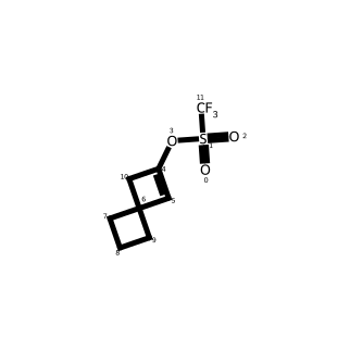 O=S(=O)(OC1=CC2(CCC2)C1)C(F)(F)F